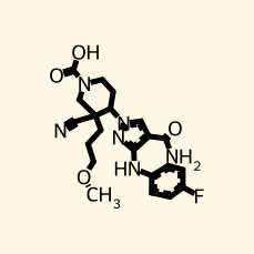 COCCCC1(C#N)CN(C(=O)O)CCC1n1cc(C(N)=O)c(Nc2ccc(F)cc2)n1